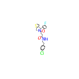 O=C(CCC(=O)N1CCc2sccc2C1c1cccc(F)c1)NCCc1ccc(Cl)cc1